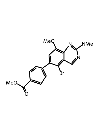 CNc1ncc2c(Br)c(-c3ccc(C(=O)OC)cc3)cc(OC)c2n1